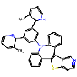 CC1=CC=CNC1c1cc(C2NC=CC=C2C)cc(N2c3ccccc3-c3sc4ccncc4c3-c3ccccc32)c1